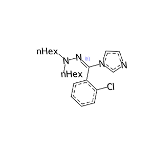 CCCCCCN(CCCCCC)/N=C(\c1ccccc1Cl)n1ccnc1